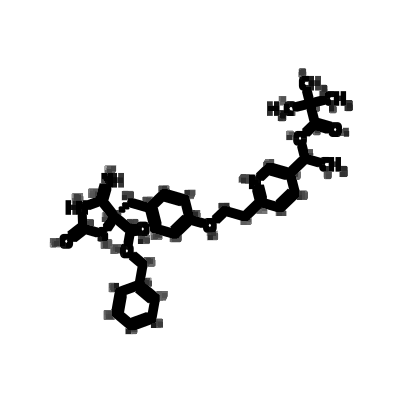 CC(OC(=O)C(C)(C)C)c1ccc(CCOc2ccc(C[C@]3(C(=O)OCc4ccccc4)SC(=O)NC3=N)cc2)nc1